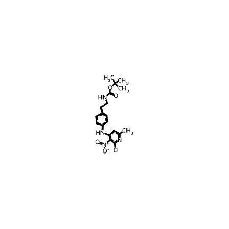 Cc1cc(Nc2ccc(CCNC(=O)OC(C)(C)C)cc2)c([N+](=O)[O-])c(Cl)n1